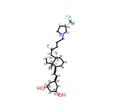 C[C@H](CCCN1CC[C@H](C(F)F)C1)[C@H]1CC[C@H]2/C(=C/C=C3C[C@@H](O)C[C@H](O)C3)CCC[C@]12C